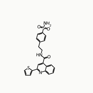 NS(=O)(=O)c1ccc(CCNC(=O)c2cc(-c3cccs3)nc3ccccc23)cc1